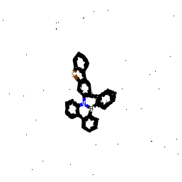 c1ccc2c(c1)B1c3ccccc3-c3cc4c(cc3N1c1ccccc1-2)sc1ccccc14